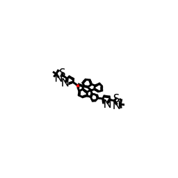 CC1(C)CSC(c2ccc(-c3ccc4c(c3)C3(c5ccccc5-c5ccccc53)c3c-4ccc4cc(-c5ccc(C6=NC(C)(C)CS6)nc5)ccc34)cn2)=N1